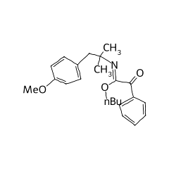 CCCCOC(=NC(C)(C)Cc1ccc(OC)cc1)C(=O)c1ccccc1